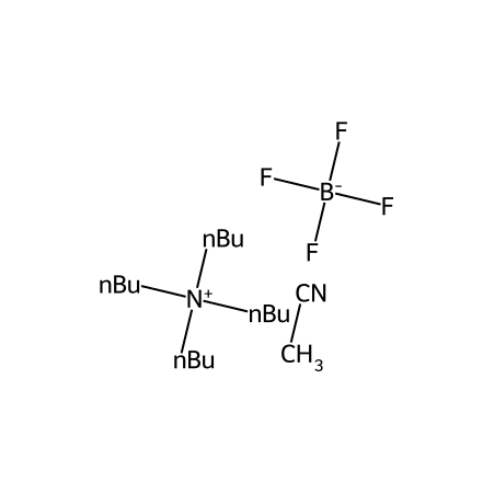 CC#N.CCCC[N+](CCCC)(CCCC)CCCC.F[B-](F)(F)F